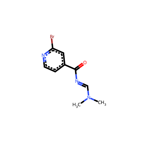 CN(C)C=NC(=O)c1ccnc(Br)c1